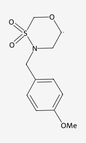 COc1ccc(CN2C[CH]OCS2(=O)=O)cc1